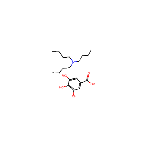 CCCCN(CCCC)CCCC.O=C(O)c1cc(O)c(O)c(O)c1